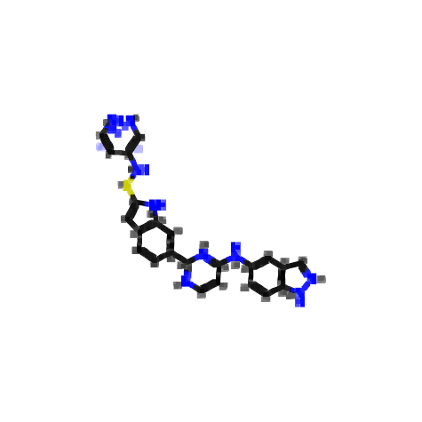 N/C=C\C(=C/N)NSc1cc2ccc(-c3nccc(Nc4ccc5[nH]ncc5c4)n3)cc2[nH]1